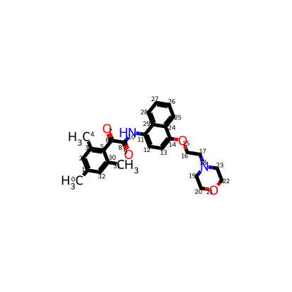 Cc1cc(C)c(C(=O)C(=O)Nc2ccc(OCCN3CCOCC3)c3ccccc23)c(C)c1